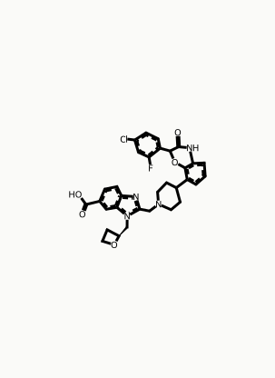 O=C(O)c1ccc2nc(CN3CCC(c4cccc5c4OC(c4ccc(Cl)cc4F)C(=O)N5)CC3)n(C[C@@H]3CCO3)c2c1